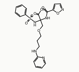 O=C(NC(COCCCNc1ccccn1)(NS(=O)(=O)c1ccccc1)C(=O)O)c1ccno1